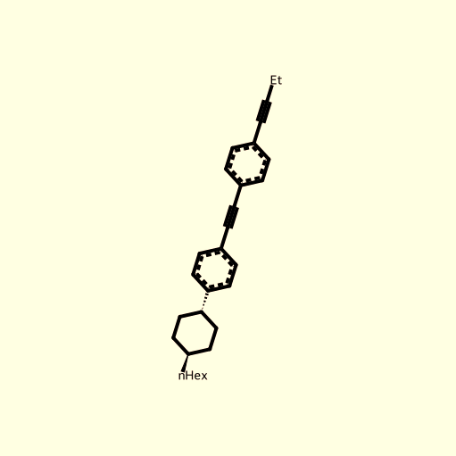 CCC#Cc1ccc(C#Cc2ccc([C@H]3CC[C@H](CCCCCC)CC3)cc2)cc1